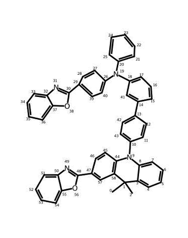 CC1(C)c2ccccc2N(c2ccc(-c3cccc(N(c4ccccc4)c4ccc(-c5nc6ccccc6o5)cc4)c3)cc2)c2ccc(-c3nc4ccccc4o3)cc21